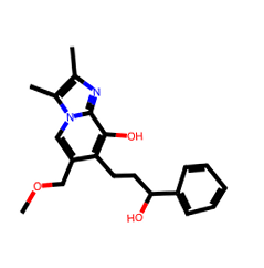 COCc1cn2c(C)c(C)nc2c(O)c1CCC(O)c1ccccc1